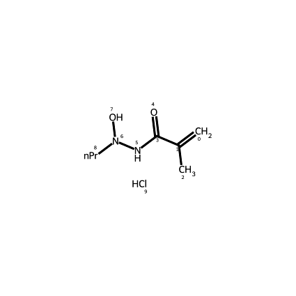 C=C(C)C(=O)NN(O)CCC.Cl